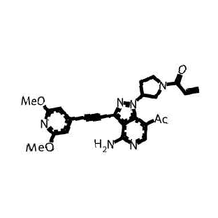 C=CC(=O)N1CCC(n2nc(C#Cc3cc(OC)nc(OC)c3)c3c(N)ncc(C(C)=O)c32)C1